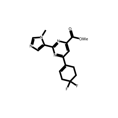 COC(=O)c1cc(C2=CCC(F)(F)CC2)nc(-c2cncn2C)n1